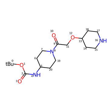 CC(C)(C)OC(=O)NC1CCN(C(=O)COC2CCNCC2)CC1